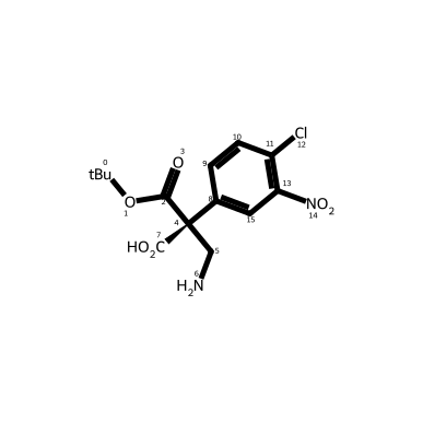 CC(C)(C)OC(=O)[C@](CN)(C(=O)O)c1ccc(Cl)c([N+](=O)[O-])c1